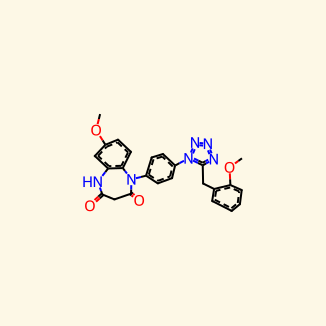 COc1ccc2c(c1)NC(=O)CC(=O)N2c1ccc(-n2nnnc2Cc2ccccc2OC)cc1